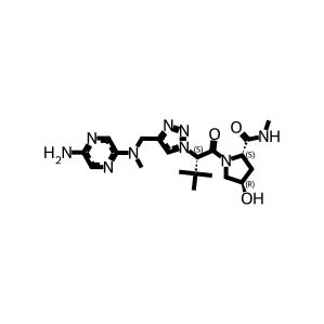 CNC(=O)[C@@H]1C[C@@H](O)CN1C(=O)[C@@H](n1cc(CN(C)c2cnc(N)cn2)nn1)C(C)(C)C